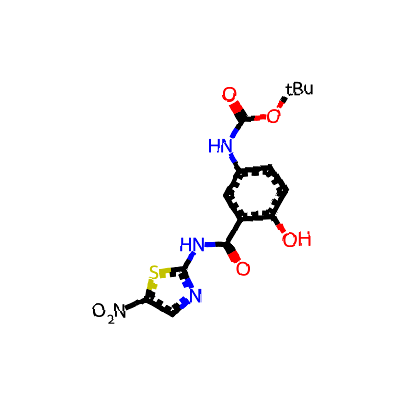 CC(C)(C)OC(=O)Nc1ccc(O)c(C(=O)Nc2ncc([N+](=O)[O-])s2)c1